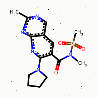 Cc1ncc2cc(C(=O)N(C)S(C)(=O)=O)c(N3CCCC3)nc2n1